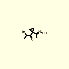 CC(=NO)C1(C(=O)C(C)Br)CC1